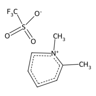 Cc1cccc[n+]1C.O=S(=O)([O-])C(F)(F)F